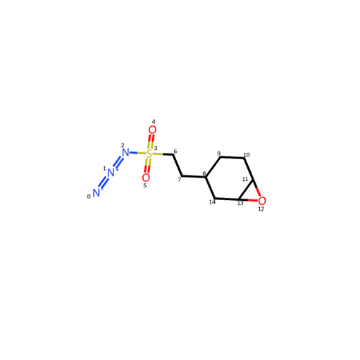 [N-]=[N+]=NS(=O)(=O)CCC1CCC2OC2C1